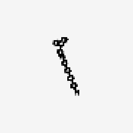 N#Cc1ccc(-c2ccc(-c3ccc(-c4ccc(-n5nc6ccc(-c7cc8ccccc8c8ccccc78)cc6n5)cc4)cc3)cc2)cc1